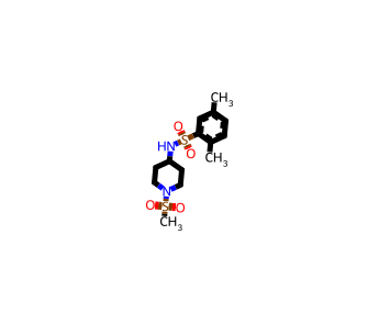 Cc1ccc(C)c(S(=O)(=O)NC2CCN(S(C)(=O)=O)CC2)c1